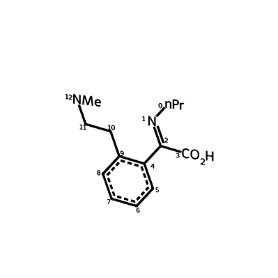 CCCN=C(C(=O)O)c1ccccc1CCNC